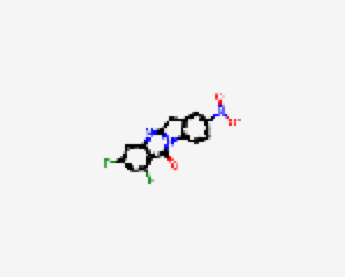 O=c1c2c(F)cc(F)cc2nc2n1-c1ccc([N+](=O)[O-])cc1C2